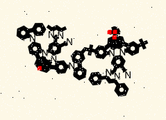 Cc1cc(C)nc(-c2cc(-n3c4ccccc4c4ccc(-n5c6ccccc6c6ccccc65)cc43)c(-n3c4ccccc4c4ccc(-n5c6ccccc6c6cc(CC(C)(C)c7ccc8c(c7)c7cc(C(C)(C)C)ccc7n8-c7cc(-c8nc(-c9ccccc9)cc(-c9ccccc9)n8)c(C#N)cc7-n7c8ccc(C(C)(C)C)cc8c8cc(C(C)(C)C)ccc87)ccc65)cc43)cc2C#N)n1